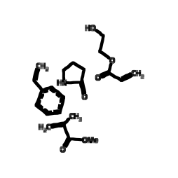 C=C(C)C(=O)OC.C=CC(=O)OCCO.C=Cc1ccccc1.O=C1CCCN1